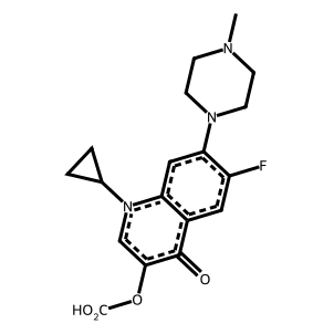 CN1CCN(c2cc3c(cc2F)c(=O)c(OC(=O)O)cn3C2CC2)CC1